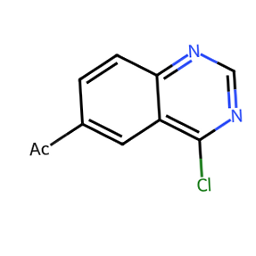 CC(=O)c1ccc2ncnc(Cl)c2c1